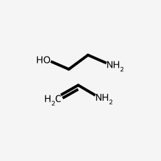 C=CN.NCCO